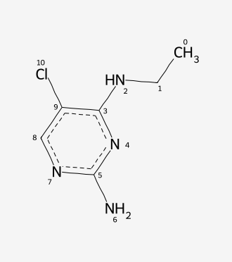 CCNc1nc(N)ncc1Cl